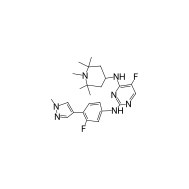 CN1C(C)(C)CC(Nc2nc(Nc3ccc(-c4cnn(C)c4)c(F)c3)ncc2F)CC1(C)C